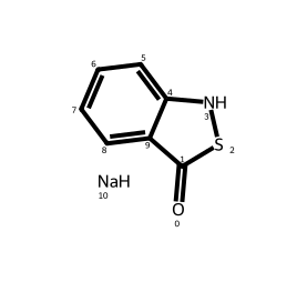 O=c1s[nH]c2ccccc12.[NaH]